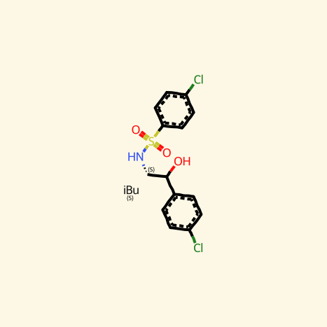 CC[C@H](C)[C@H](NS(=O)(=O)c1ccc(Cl)cc1)C(O)c1ccc(Cl)cc1